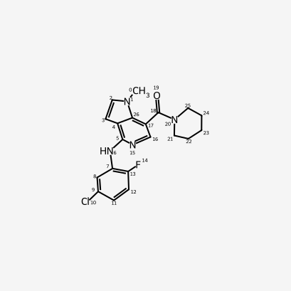 Cn1ccc2c(Nc3cc(Cl)ccc3F)ncc(C(=O)N3CCCCC3)c21